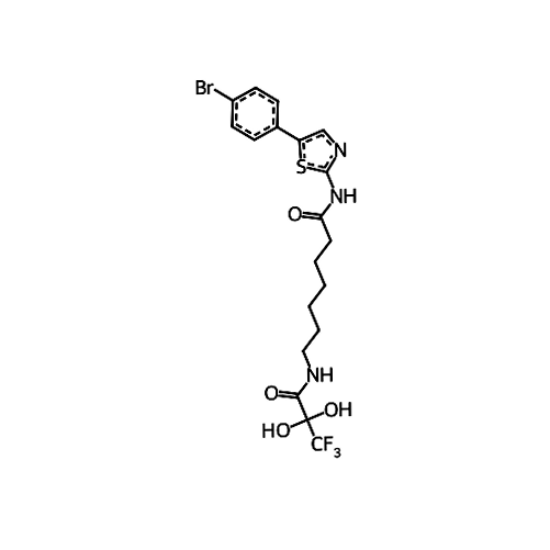 O=C(CCCCCCNC(=O)C(O)(O)C(F)(F)F)Nc1ncc(-c2ccc(Br)cc2)s1